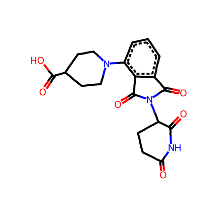 O=C1CCC(N2C(=O)c3cccc(N4CCC(C(=O)O)CC4)c3C2=O)C(=O)N1